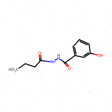 O=C(O)CCC(=O)NNC(=O)c1cccc(O)c1